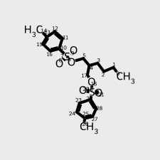 CCCCC(COS(=O)(=O)c1ccc(C)cc1)COS(=O)(=O)c1ccc(C)cc1